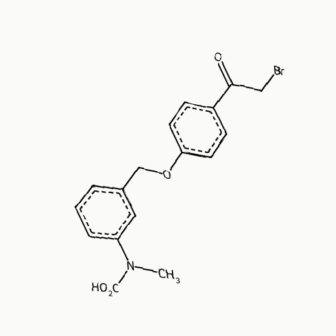 CN(C(=O)O)c1cccc(COc2ccc(C(=O)CBr)cc2)c1